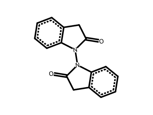 O=C1Cc2ccccc2N1N1C(=O)Cc2ccccc21